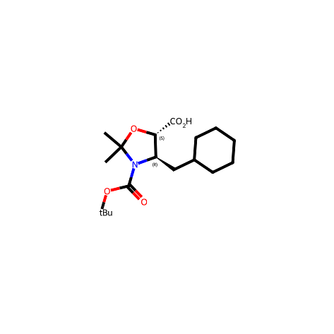 CC(C)(C)OC(=O)N1[C@H](CC2CCCCC2)[C@@H](C(=O)O)OC1(C)C